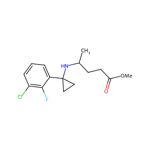 COC(=O)CCC(C)NC1(c2cccc(Cl)c2F)CC1